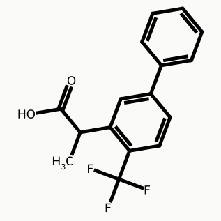 CC(C(=O)O)c1cc(-c2ccccc2)ccc1C(F)(F)F